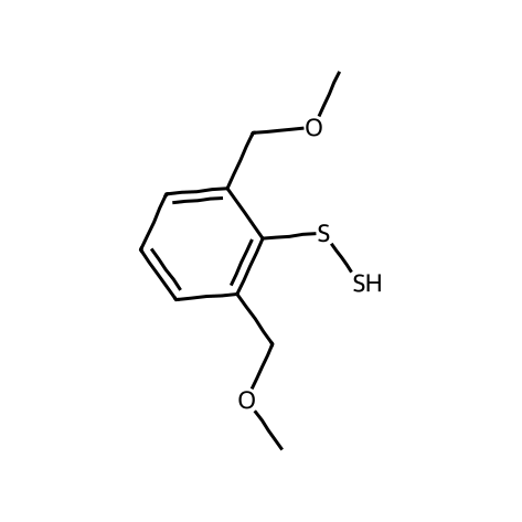 COCc1cccc(COC)c1SS